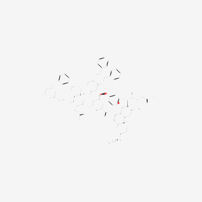 C=CC1CC(C(=O)OC2CC3CC(N=[N+]=[N-])CCC3(C)C3CC(O)C4(C)C(C(C)CCC(=O)OC)CCC4C23)C[C@@H](O[C@@H]2O[C@H]3COC(c4ccccc4)O[C@@H]3C(OCCC3CCCCC3)C2NC(C)=O)[C@@H]1OC1O[C@@H](C)[C@H](OCc2ccccc2)C(OCc2ccccc2)[C@@H]1OCc1ccccc1